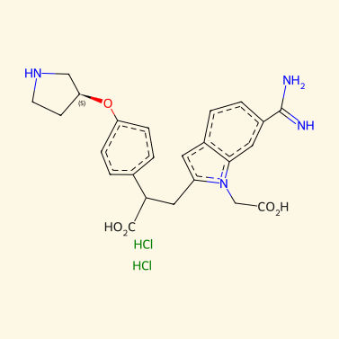 Cl.Cl.N=C(N)c1ccc2cc(CC(C(=O)O)c3ccc(O[C@H]4CCNC4)cc3)n(CC(=O)O)c2c1